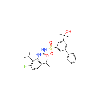 CC(C)c1ccc(F)c(C(C)C)c1NC(=O)NS(=O)(=O)c1cc(-c2ccccc2)cc(C(C)(C)O)c1